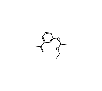 C=C(C)c1cccc(OC(C)OCC)c1